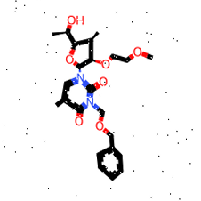 COCCO[C@@H]1[C@H](C)C([C@@H](C)O)O[C@H]1n1cc(C)c(=O)n(COCc2ccccc2)c1=O